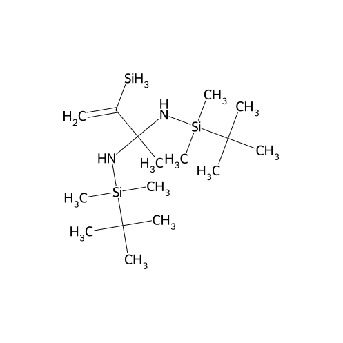 C=C([SiH3])C(C)(N[Si](C)(C)C(C)(C)C)N[Si](C)(C)C(C)(C)C